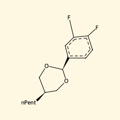 CCCCC[C@H]1CO[C@@H](c2ccc(F)c(F)c2)OC1